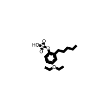 CCCCCc1ccccc1OS(=O)(=O)O.CCOCC